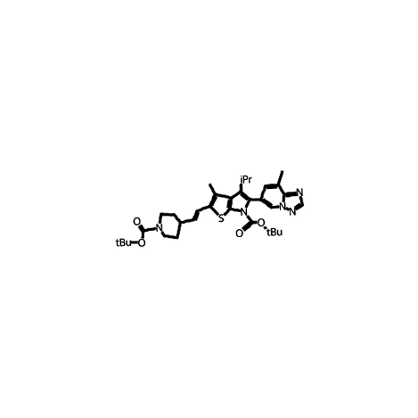 Cc1c(C=CC2CCN(C(=O)OC(C)(C)C)CC2)sc2c1c(C(C)C)c(-c1cc(C)c3ncnn3c1)n2C(=O)OC(C)(C)C